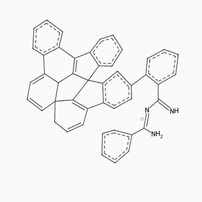 N=C(/N=C(\N)c1ccccc1)c1ccccc1-c1ccc2c(c1)C13C4=C(c5ccccc5C5=CC=CC6(CC=CC2=C16)C54)c1ccccc13